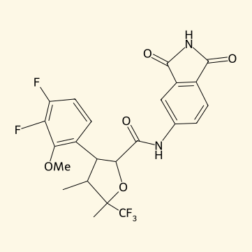 COc1c(C2C(C(=O)Nc3ccc4c(c3)C(=O)NC4=O)OC(C)(C(F)(F)F)C2C)ccc(F)c1F